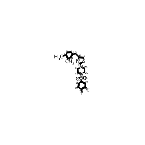 Cc1ccc(Cc2csc(N3CCN(S(=O)(=O)c4ccc(F)c(Cl)c4)CC3)n2)cc1C